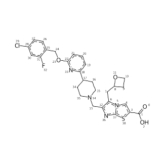 O=C(O)c1cn2c(CC3CCO3)c(CN3CCC(c4cccc(OCc5ccc(Cl)cc5F)n4)CC3)nc2s1